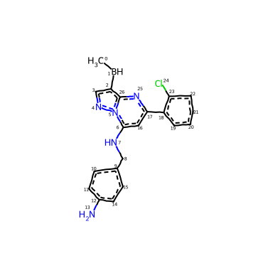 CBc1cnn2c(NCc3ccc(N)cc3)cc(-c3ccccc3Cl)nc12